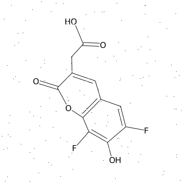 O=C(O)Cc1cc2cc(F)c(O)c(F)c2oc1=O